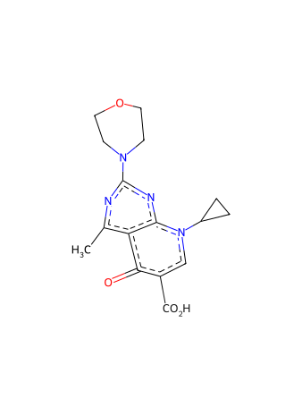 Cc1nc(N2CCOCC2)nc2c1c(=O)c(C(=O)O)cn2C1CC1